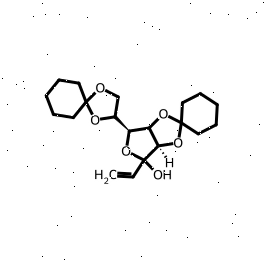 C=CC1(O)O[C@@H](C2COC3(CCCCC3)O2)C2OC3(CCCCC3)O[C@H]21